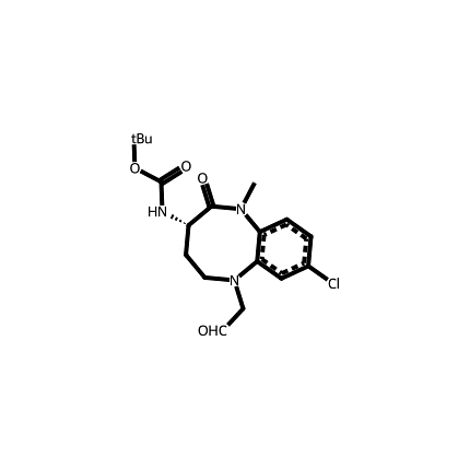 CN1C(=O)[C@@H](NC(=O)OC(C)(C)C)CCN(CC=O)c2cc(Cl)ccc21